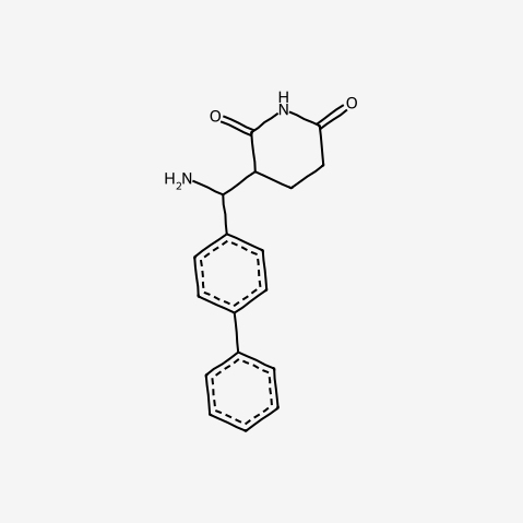 NC(c1ccc(-c2ccccc2)cc1)C1CCC(=O)NC1=O